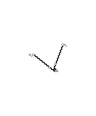 CCCCCCCCCCCCCCOCCc1c[se]cc1CCOCCCCCCCCCCCCCC